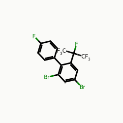 Fc1ccc(-c2c(Br)[c]c(Br)cc2C(F)(C(F)(F)F)C(F)(F)F)cc1